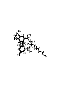 CCCCCNCC1(O)CN(C(=O)c2cc3c(ncn3C)c(F)c2Nc2ccc(I)cc2F)C1